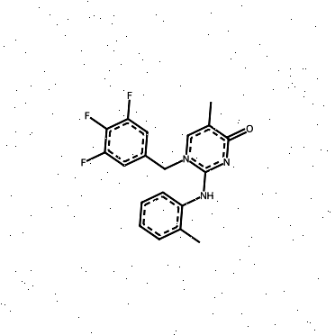 Cc1ccccc1Nc1nc(=O)c(C)cn1Cc1cc(F)c(F)c(F)c1